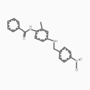 Cc1cc(NCc2ccc([N+](=O)[O-])cc2)ccc1NC(=O)c1ccccc1